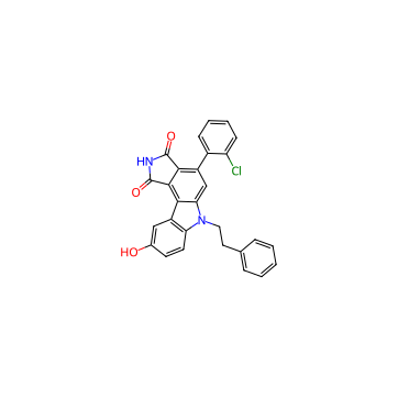 O=C1NC(=O)c2c1c(-c1ccccc1Cl)cc1c2c2cc(O)ccc2n1CCc1ccccc1